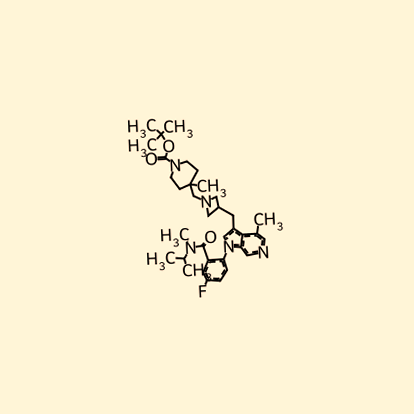 Cc1cncc2c1c(CC1CN(CC3(C)CCN(C(=O)OC(C)(C)C)CC3)C1)cn2-c1ccc(F)cc1C(=O)N(C)C(C)C